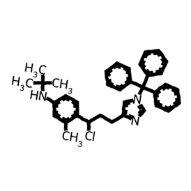 Cc1cc(NC(C)(C)C)ccc1C(Cl)CCc1cn(C(c2ccccc2)(c2ccccc2)c2ccccc2)cn1